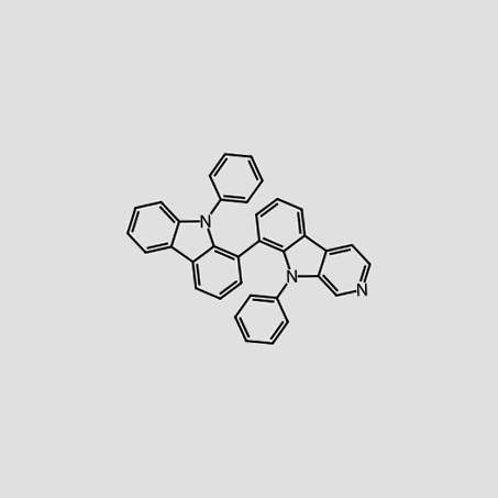 c1ccc(-n2c3ccccc3c3cccc(-c4cccc5c6ccncc6n(-c6ccccc6)c45)c32)cc1